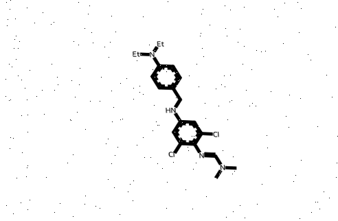 CCN(CC)c1ccc(CNc2cc(Cl)c(N=CN(C)C)c(Cl)c2)cc1